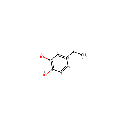 C[CH]c1ccc(O)c(O)c1